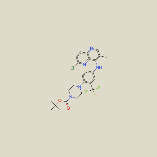 Cc1cnc2ccc(Cl)nc2c1Nc1ccc(N2CCN(C(=O)OC(C)(C)C)CC2)c(C(F)(F)F)c1